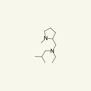 CCN(CC(C)C)CC1CCCN1C